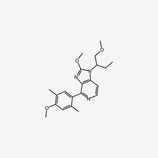 CCC(COC)n1c(OC)nc2c(-c3cc(C)c(OC)cc3C)nccc21